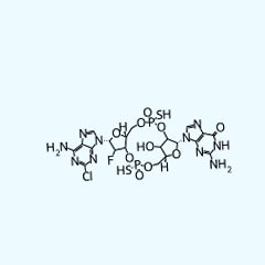 Nc1nc2c(ncn2[C@@H]2O[C@@H]3CO[P@](=O)(S)OC4C(F)[C@H](n5cnc6c(N)nc(Cl)nc65)O[C@@H]4COP(=O)(S)OC2C3O)c(=O)[nH]1